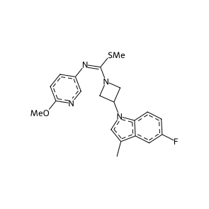 COc1ccc(/N=C(/SC)N2CC(n3cc(C)c4cc(F)ccc43)C2)cn1